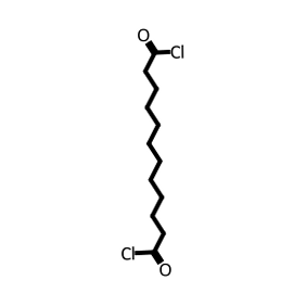 O=C(Cl)CCCCCCCCCCC(=O)Cl